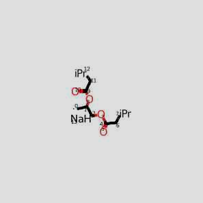 [CH2]C(COC(=O)CC(C)C)OC(=O)CC(C)C.[NaH]